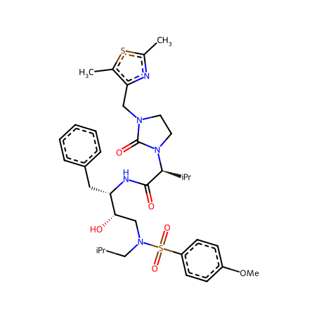 COc1ccc(S(=O)(=O)N(CC(C)C)C[C@H](O)[C@H](Cc2ccccc2)NC(=O)[C@H](C(C)C)N2CCN(Cc3nc(C)sc3C)C2=O)cc1